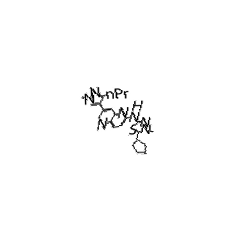 CCCc1nn(C)cc1-c1cnc2ccc(NC3=NN(C)C(C4CCCC4)S3)nc2c1